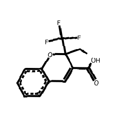 CCC1(C(F)(F)F)Oc2ccccc2C=C1C(=O)O